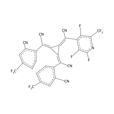 N#CC(=C1C(=C(/C#N)c2ccc(C(F)(F)F)cc2C#N)/C1=C(/C#N)c1c(F)c(F)nc(C(F)(F)F)c1F)c1ccc(C(F)(F)F)cc1C#N